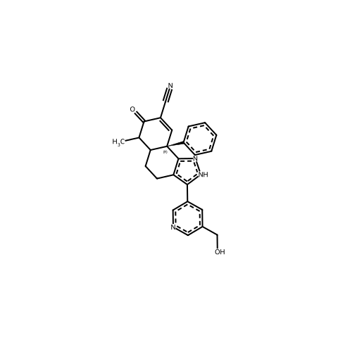 CC1C(=O)C(C#N)=C[C@]2(c3ccccc3)c3n[nH]c(-c4cncc(CO)c4)c3CCC12